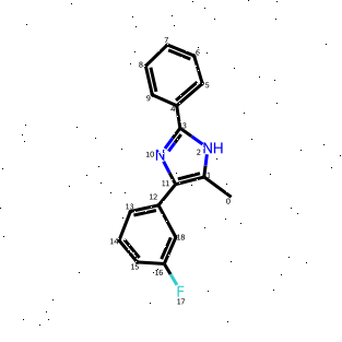 Cc1[nH]c(-c2ccccc2)nc1-c1cccc(F)c1